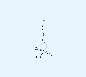 NCCSCS(=O)(=O)O